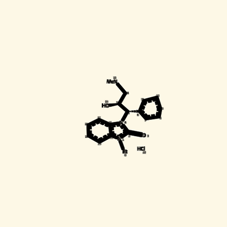 CCn1c(=O)n([C@@H](c2ccccc2)[C@@H](O)CNC)c2ccccc21.Cl